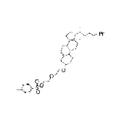 Cc1ccc(S(=O)(=O)OCCOCCO[C@H]2CC[C@@]3(C)C(=CCC4C3CC[C@@]3(C)C4CC[C@@H]3[C@H](C)CCCC(C)C)C2)cc1